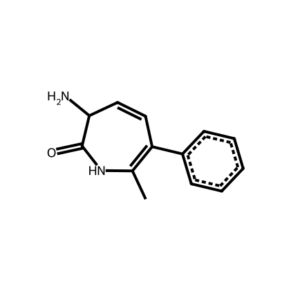 CC1=C(c2ccccc2)C=CC(N)C(=O)N1